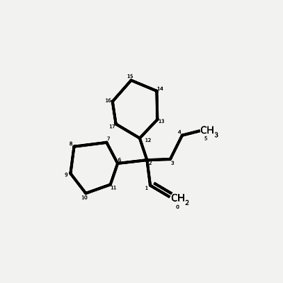 C=CC(CCC)(C1CCCCC1)C1CCCCC1